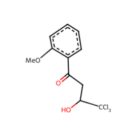 COc1ccccc1C(=O)CC(O)C(Cl)(Cl)Cl